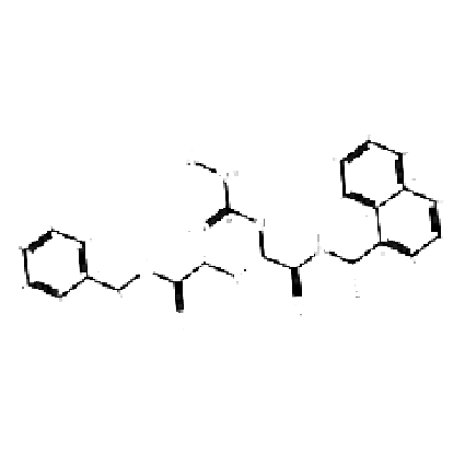 C[C@H](NC(=O)[C@H](CCC(=O)OCc1ccccc1)NC(=O)OC(C)(C)C)c1cccc2ccccc12